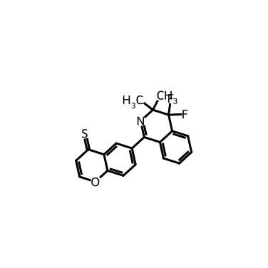 CC1(C)N=C(c2ccc3occc(=S)c3c2)c2ccccc2C1(F)F